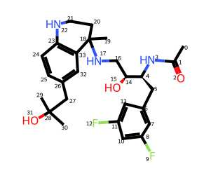 CC(=O)N[C@@H](Cc1cc(F)cc(F)c1)[C@@H](O)CNC1(C)CCNc2ccc(CC(C)(C)O)cc21